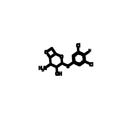 NC1C(O)C(Sc2cc(Cl)c(F)c(Cl)c2)OC2COC21